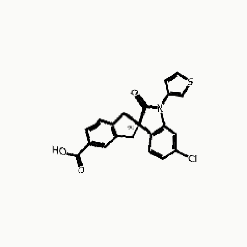 O=C(O)c1ccc2c(c1)C[C@@]1(C2)C(=O)N(c2ccsc2)c2cc(Cl)ccc21